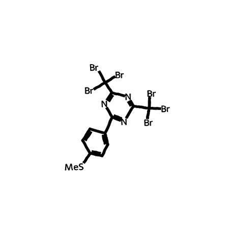 CSc1ccc(-c2nc(C(Br)(Br)Br)nc(C(Br)(Br)Br)n2)cc1